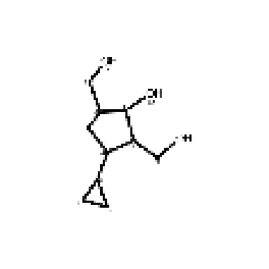 OCC1CC(C2CC2)C(CO)C1O